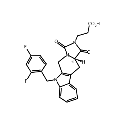 O=C(O)CCN1C(=O)[C@@H]2Cc3c(n(Cc4ccc(F)cc4F)c4ccccc34)CN2C1=O